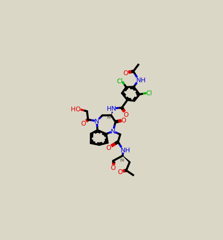 CC(=O)C[C@@H](C=O)NC(=O)CN1C(=O)[C@@H](NC(=O)c2cc(Cl)c(NC(C)=O)c(Cl)c2)CN(C(=O)CO)c2ccccc21